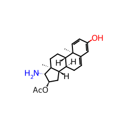 CC(=O)O[C@@H]1C[C@H]2[C@@H]3CC=C4C=C(O)C=C[C@]4(C)[C@H]3CC[C@]2(C)[C@H]1N